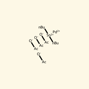 CC(=O)[O-].CC(=O)[O-].CC(=O)[O-].CC(=O)[O-].CCC[CH2][Sn+2][CH2]CCC.[Pd+2]